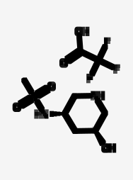 CS(=O)(=O)N[C@@H]1CNC[C@@H](O)C1.O=C(O)C(F)(F)F